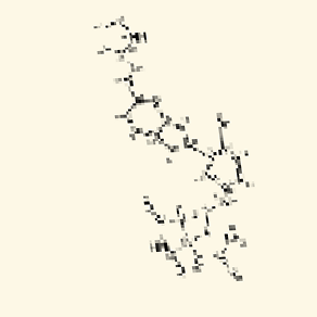 CC1(C)C(=O)NC(=O)[N+]1(CCNc1ncc(Br)c(-c2cc3cc(OC[C@@H]4CCCN4)ccc3s2)n1)OC(=O)C(F)(F)F